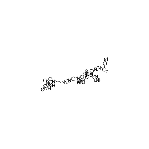 CC1(C)CCC(CN2CCN(c3ccc(C(=O)NS(=O)(=O)c4ccc(NCC5CCC(N6CCN(CCCCCCNc7cccc8c7C(=O)N(C7CCC(=O)NC7=O)C8=O)CC6)CC5)c([N+](=O)[O-])c4)c(Oc4cnc5[nH]ccc5c4)c3)CC2)=C(c2ccc(Cl)cc2)C1